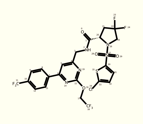 O=C(NCc1cc(-c2ccc(C(F)(F)F)cc2)nc(OCC(F)(F)F)n1)[C@@H]1CC(F)(F)CN1S(=O)(=O)c1ccc(Cl)s1